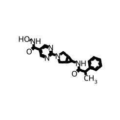 CC(C(=O)NC1C2CN(c3ncc(C(=O)NO)cn3)CC21)c1ccccc1